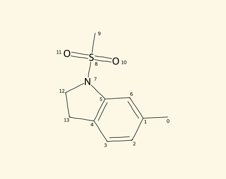 Cc1ccc2c(c1)N(S(C)(=O)=O)CC2